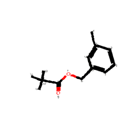 Cc1cccc(COC(=O)C(C)(C)C)c1